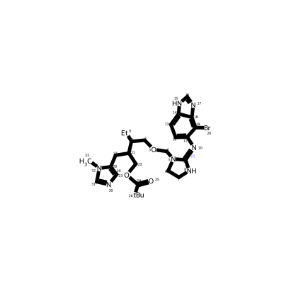 CCC(COCN1CCN/C1=N/c1ccc2[nH]cnc2c1Br)C(COC(=O)C(C)(C)C)Cc1cncn1C